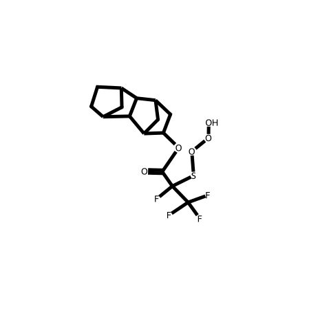 O=C(OC1CC2CC1C1C3CCC(C3)C21)C(F)(SOOO)C(F)(F)F